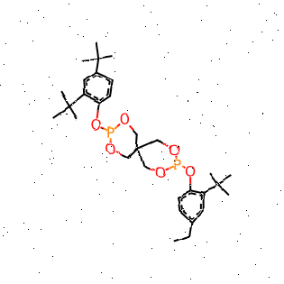 CCc1ccc(OP2OCC3(CO2)COP(Oc2ccc(C(C)(C)C)cc2C(C)(C)C)OC3)c(C(C)(C)C)c1